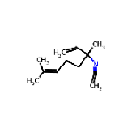 C=C=NC(C)(C=C)CCC=C(C)C